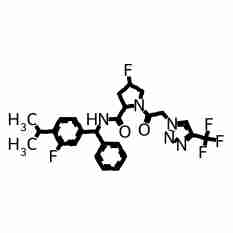 CC(C)c1ccc(C(NC(=O)C2CC(F)CN2C(=O)Cn2cc(C(F)(F)F)nn2)c2ccccc2)cc1F